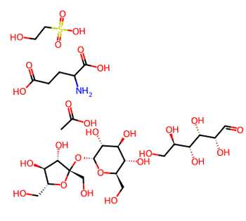 CC(=O)O.NC(CCC(=O)O)C(=O)O.O=C[C@H](O)[C@@H](O)[C@H](O)[C@H](O)CO.O=S(=O)(O)CCO.OC[C@H]1O[C@@](CO)(O[C@H]2O[C@H](CO)[C@@H](O)[C@H](O)[C@H]2O)[C@@H](O)[C@@H]1O